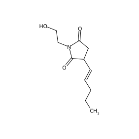 CCCC=CC1CC(=O)N(CCO)C1=O